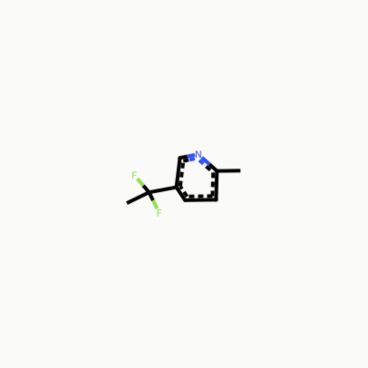 Cc1ccc(C(C)(F)F)cn1